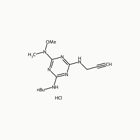 C#CCNc1nc(NCCCC)nc(N(C)OC)n1.Cl